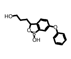 OCCCC1OB(O)c2cc(Oc3ccccc3)ccc21